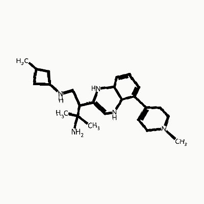 CC1CC(NCC(C2=CNC3C(C4=CCN(C)CC4)=CC=CC3N2)C(C)(C)N)C1